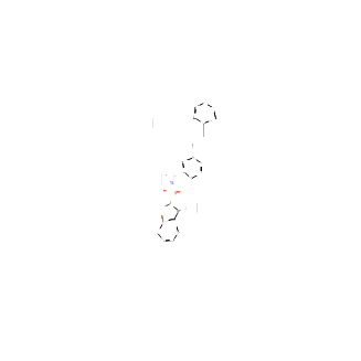 Cc1c(S(=O)(=O)Nc2cccc(CCc3ccccc3C(=O)O)c2)sc2ccc(Cl)cc12